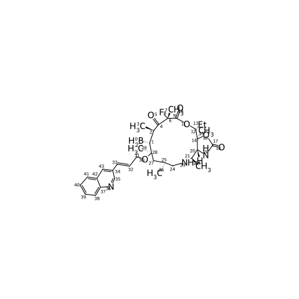 B[C@@H]1[C@@H](C)C(=O)[C@](C)(F)C(=O)O[C@H](CC)[C@@]2(C)OC(=O)N[C@@H]2[C@@H](C)NC[C@H](C)C[C@@]1(C)OC/C=C/c1cnc2ccccc2c1